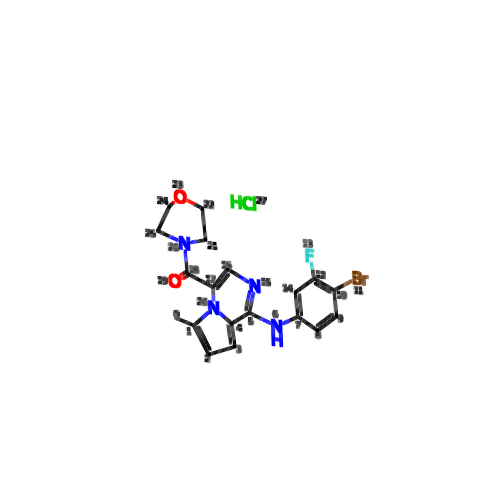 Cc1ccc2c(Nc3ccc(Br)c(F)c3)ncc(C(=O)N3CCOCC3)n12.Cl